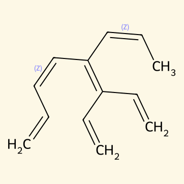 C=C/C=C\C(/C=C\C)=C(C=C)C=C